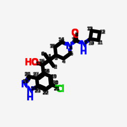 CC(C)(C1CCN(C(=O)NC2CCC2)CC1)C(O)c1cc(Cl)cc2[nH]ncc12